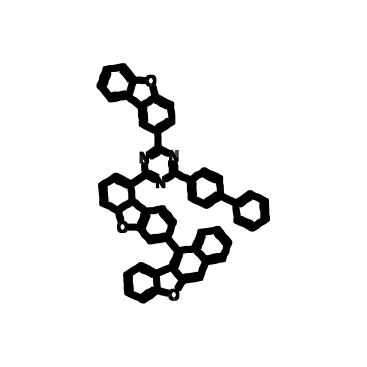 C1=CC2Oc3cc(-c4c5ccccc5cc5oc6ccccc6c45)ccc3C2C(c2nc(-c3ccc(-c4ccccc4)cc3)nc(-c3ccc4oc5ccccc5c4c3)n2)=C1